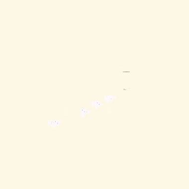 NC(=O)Cc1csc(NC(=O)NCc2ccc(Cl)c(Cl)c2)n1